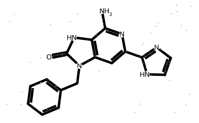 Nc1nc(-c2ncc[nH]2)cc2c1[nH]c(=O)n2Cc1ccccc1